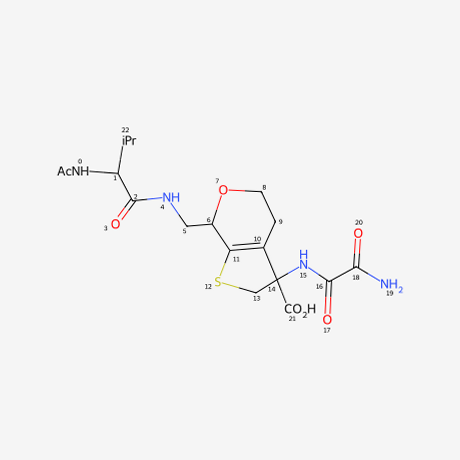 CC(=O)NC(C(=O)NCC1OCCC2=C1SCC2(NC(=O)C(N)=O)C(=O)O)C(C)C